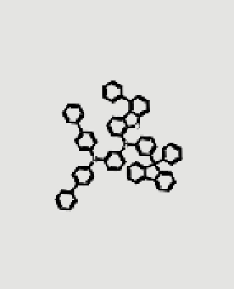 c1ccc(-c2ccc(N(c3ccc(-c4ccccc4)cc3)c3cccc(N(c4cccc(C5(c6ccccc6)c6ccccc6-c6ccccc65)c4)c4cccc5c4oc4cccc(-c6ccccc6)c45)c3)cc2)cc1